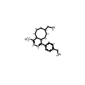 CC1=NN=C(c2ccc(CC(C)C)cc2)C2CCC(CC(C)C)CCCC12